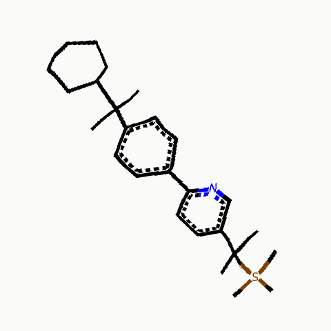 CC(C)(c1ccc(-c2ccc(C(C)(C)S(C)(C)C)cn2)cc1)C1CCCCC1